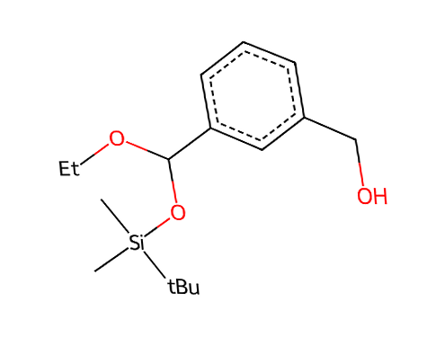 CCOC(O[Si](C)(C)C(C)(C)C)c1cccc(CO)c1